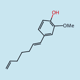 C=CCCC/C=C/c1ccc(O)c(OC)c1